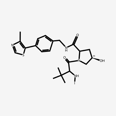 Cc1ncsc1-c1ccc(CNC(=O)C2C[C@@H](O)CN2C(=O)C(NI)C(C)(C)C)cc1